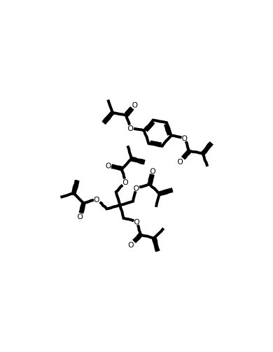 C=C(C)C(=O)OCC(COC(=O)C(=C)C)(COC(=O)C(=C)C)COC(=O)C(=C)C.C=C(C)C(=O)Oc1ccc(OC(=O)C(=C)C)cc1